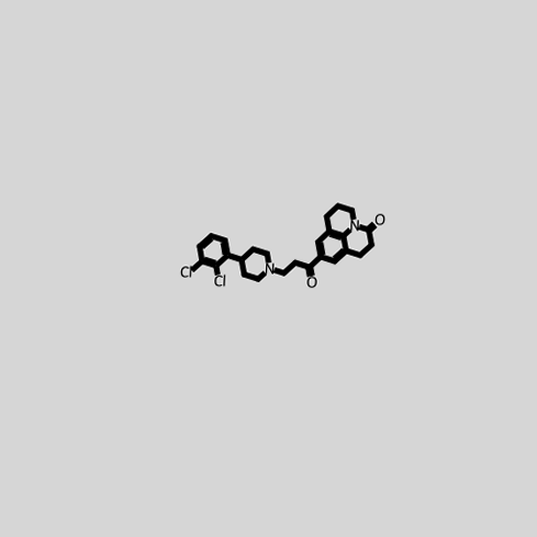 O=C(CCN1CCC(c2cccc(Cl)c2Cl)CC1)c1cc2c3c(c1)CCC(=O)N3CCC2